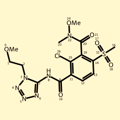 COCCn1nnnc1NC(=O)c1ccc(S(C)(=O)=O)c(C(=O)N(C)OC)c1Cl